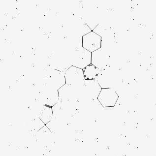 CN(CCNC(=O)OC(C)(C)C)Cc1cn(C2CCCCO2)nc1C1CCC(C)(C)CC1